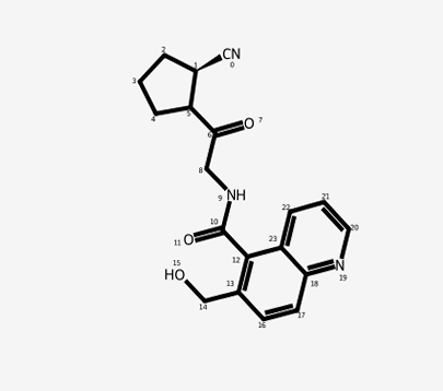 N#C[C@@H]1CCCC1C(=O)CNC(=O)c1c(CO)ccc2ncccc12